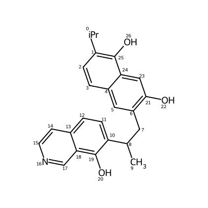 CC(C)c1ccc2cc(CC(C)c3ccc4ccncc4c3O)c(O)cc2c1O